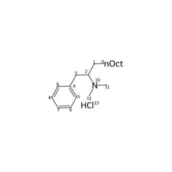 CCCCCCCCCC(Cc1ccccc1)N(C)C.Cl